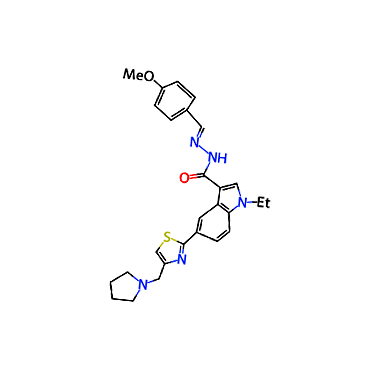 CCn1cc(C(=O)NN=Cc2ccc(OC)cc2)c2cc(-c3nc(CN4CCCC4)cs3)ccc21